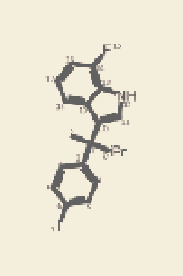 CC(C)C(C)(c1ccc(I)cc1)c1c[nH]c2c(F)cccc12